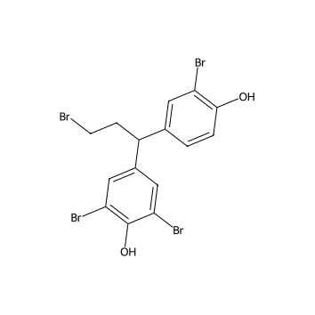 Oc1ccc(C(CCBr)c2cc(Br)c(O)c(Br)c2)cc1Br